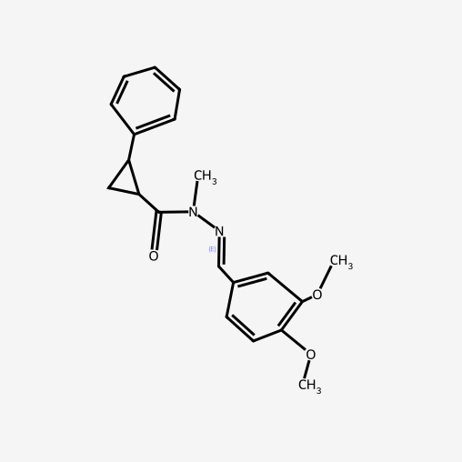 COc1ccc(/C=N/N(C)C(=O)C2CC2c2ccccc2)cc1OC